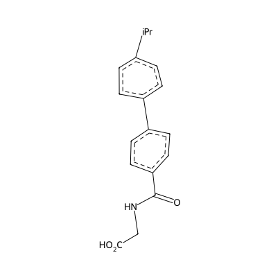 CC(C)c1ccc(-c2ccc(C(=O)NCC(=O)O)cc2)cc1